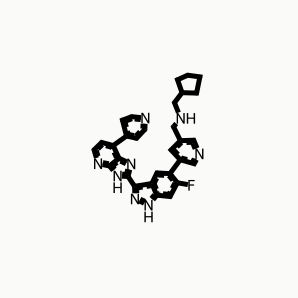 Fc1cc2[nH]nc(-c3nc4c(-c5ccncc5)ccnc4[nH]3)c2cc1-c1cncc(CNCC2CCCC2)c1